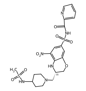 CS(=O)(=O)NC1CCN(C[C@H]2COc3cc(S(=O)(=O)NC(=O)c4ccccn4)cc([N+](=O)[O-])c3N2)CC1